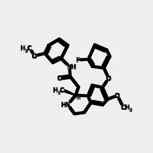 COc1cccc(NC(=O)C[C@@]2(C)NCCc3cc(OC)c(Oc4cccc(F)c4)cc32)c1